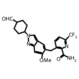 COc1cc2nn(C3CCC(C=O)CC3)cc2cc1Cc1ccc(C(F)(F)F)nc1C(N)=O